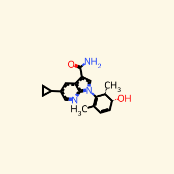 CC1=C(n2cc(C(N)=O)c3cc(C4CC4)cnc32)[C@H](C)[C@H](O)C=C1